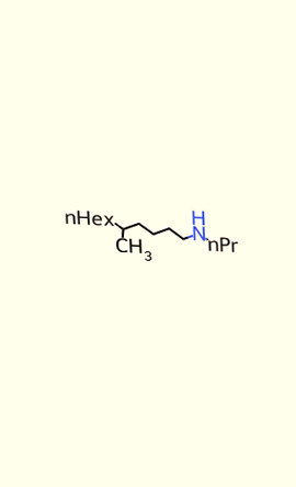 CCCCCCC(C)CCCCNCCC